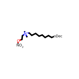 CCCCCCCCCCCCCCCCCC[N+](C)(C)CCO[N+](=O)[O-]